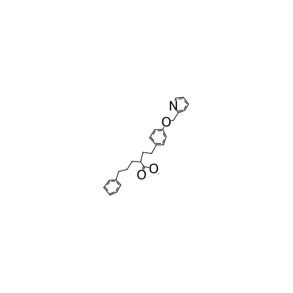 COC(=O)C(CCCc1ccccc1)CCc1ccc(OCc2ccccn2)cc1